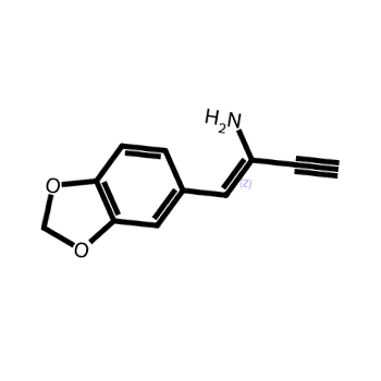 C#C/C(N)=C/c1ccc2c(c1)OCO2